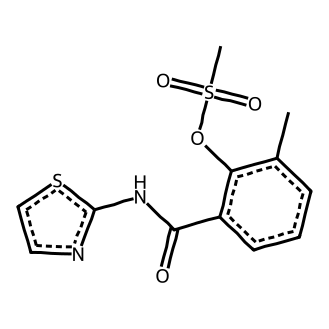 Cc1cccc(C(=O)Nc2nccs2)c1OS(C)(=O)=O